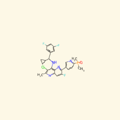 Cc1nc2cc(F)c(-c3ccc(P(C)(C)=O)nc3)nc2c(NC(c2cc(F)cc(F)c2)C2CC2)c1Cl